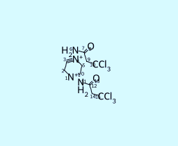 C1#[N+]CC#[N+]C1.NC(=O)CC(Cl)(Cl)Cl.NC(=O)CC(Cl)(Cl)Cl